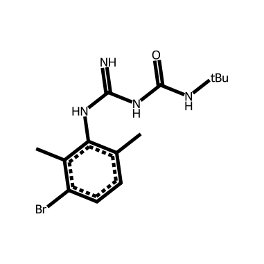 Cc1ccc(Br)c(C)c1NC(=N)NC(=O)NC(C)(C)C